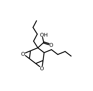 CCCCC1C2OC2C2OC2C1(CCCC)C(=O)O